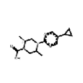 CC1CN(C(=O)O)[C@@H](C)CN1c1ncc(C2CC2)cn1